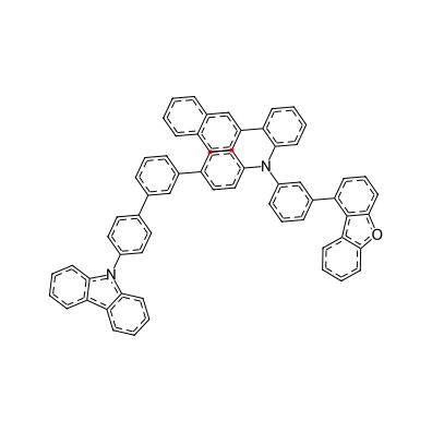 c1cc(-c2ccc(N(c3cccc(-c4cccc5oc6ccccc6c45)c3)c3ccccc3-c3ccc4ccccc4c3)cc2)cc(-c2ccc(-n3c4ccccc4c4ccccc43)cc2)c1